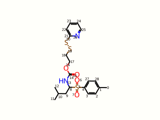 Cc1ccc(S(=O)(=O)C(CC(C)C)NC(=O)OCCSSc2ccccn2)cc1